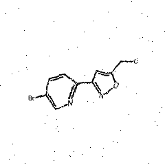 ClCc1cc(-c2ccc(Br)cn2)no1